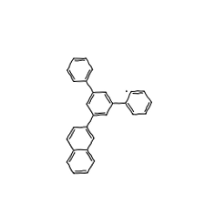 [c]1ccccc1-c1cc(-c2ccccc2)cc(-c2ccc3ccccc3c2)c1